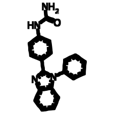 NC(=O)Nc1ccc(-c2nc3ccccc3n2-c2ccccc2)cc1